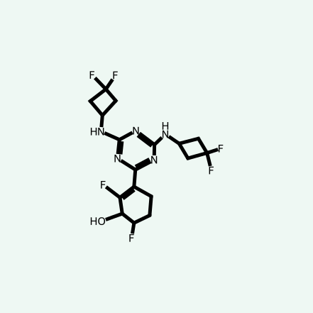 OC1C(F)=C(c2nc(NC3CC(F)(F)C3)nc(NC3CC(F)(F)C3)n2)CCC1F